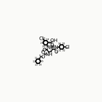 O=C(CCC(NC(=O)OCc1ccccc1)C(=O)Nc1ccc(Cl)cc1C(=O)O)Nc1ccc(Cl)cc1